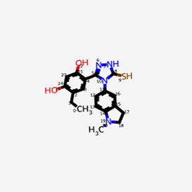 CCc1cc(C2=NNC(S)N2c2ccc3c(c2)CCN3C)c(O)cc1O